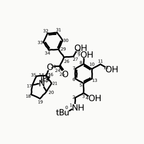 CC(C)(C)NCC(O)c1ccc(O)c(CO)c1.CC(C)[N+]1(C)C2CCC1CC(OC(=O)C(CO)c1ccccc1)C2